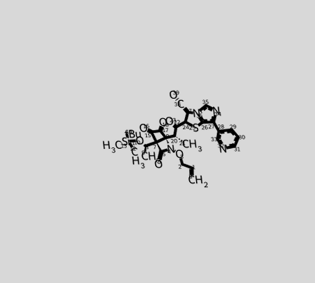 C=CCON1C(=O)[C@@]2([C@@H](C)O[Si](C)(C)C(C)(C)C)C(=O)C(=O)[C@]12[C@@H](C)C(=O)C1Sc2c(-c3cccnc3)ncn2C1=C=O